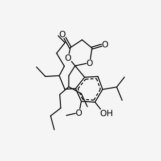 CCCCC(CC)Cc1c(C2(CC(CC)CCCC)OC(=O)CC(=O)O2)cc(C(C)C)c(O)c1OC